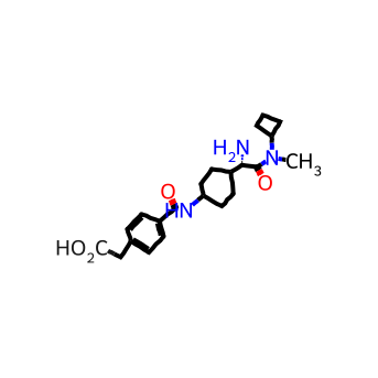 CN(C(=O)[C@@H](N)C1CCC(NC(=O)c2ccc(CC(=O)O)cc2)CC1)C1CCC1